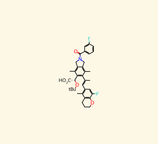 C/C(=C\c1cc(F)c2c(c1C)CCCO2)c1c(C)c2c(c(C)c1[C@H](OC(C)(C)C)C(=O)O)CN(C(=O)c1cccc(F)c1)C2